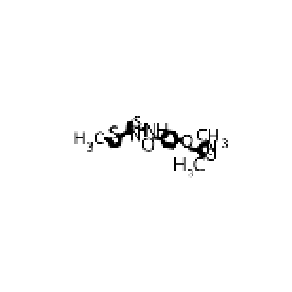 Cc1ccc(-c2csc(NC(=O)c3ccc(OCc4c(C)noc4C)cc3)n2)s1